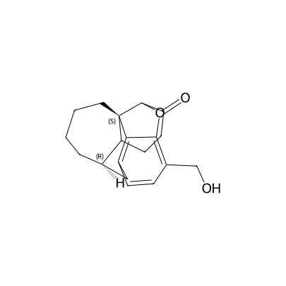 O=C1CCC2[C@@H]3CCCC[C@@]24c2c(ccc(CO)c2OC14)C3